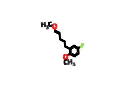 COC=CCCCc1cc(F)ccc1OC